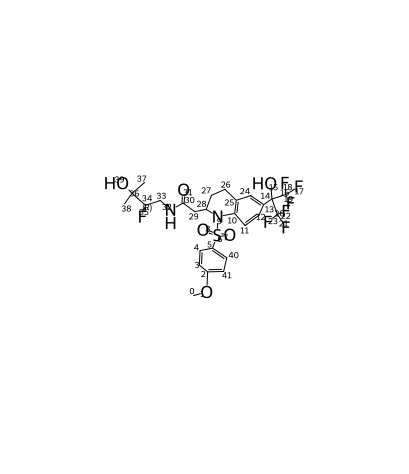 COc1ccc(S(=O)(=O)N2c3ccc(C(O)(C(F)(F)F)C(F)(F)F)cc3CCC2CC(=O)NC[C@@H](F)C(C)(C)O)cc1